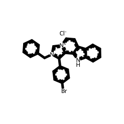 Brc1ccc(-c2c3c4[nH]c5ccccc5c4cc[n+]3cn2Cc2ccccc2)cc1.[Cl-]